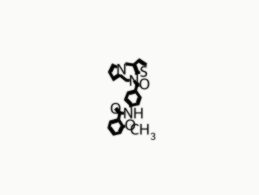 COc1ccccc1C(=O)Nc1ccc(C(=O)N2Cc3cccn3Cc3ccsc32)cc1